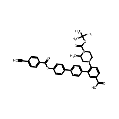 C#Cc1ccc(C(=O)Oc2ccc(-c3ccc(-c4cc(C(=O)O)ccc4N4CCN(C(=O)OC(C)(C)C)C(C)C4)cc3)cc2)cc1